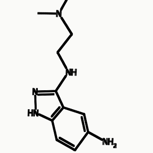 CN(C)CCNc1n[nH]c2ccc(N)cc12